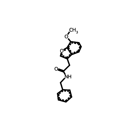 COc1cccc2c(CC(=O)NCc3ccccc3)coc12